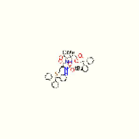 COC(=O)[C@@H](NC(=O)[C@H](CCSC(c1ccccc1)(c1ccccc1)c1ccccc1)NC(=O)OC(C)(C)C)C(C)(C)CC1OCC(c2ccccc2)(c2ccccc2)CO1